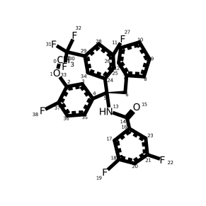 COc1cc([C@@](Cc2ccccc2)(NC(=O)c2cc(F)cc(F)c2)c2cc(F)cc(C(F)(F)F)c2)ccc1F